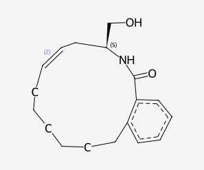 O=C1N[C@H](CO)C/C=C\CCCCCCc2ccccc21